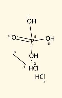 CC.Cl.Cl.O=P(O)(O)O